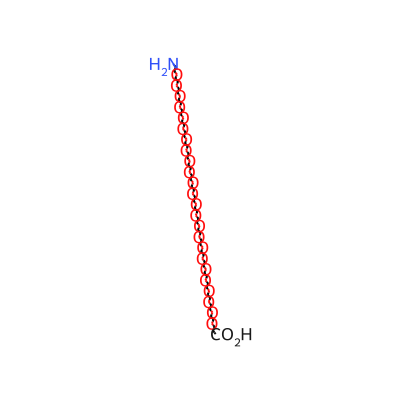 NCCOCCOCCOCCOCCOCCOCCOCCOCCOCCOCCOCCOCCOCCOCCOCCOCCOCCOCCOCCOCCOCCOCCOCCOCCC(=O)O